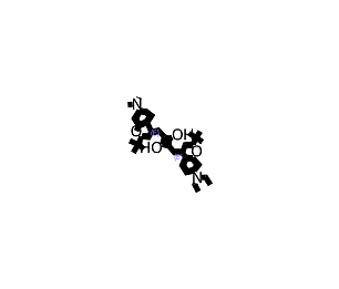 CCN(CC)c1ccc2c(c1)OC(C(C)(C)C)=C/C2=C\C1=C(O)C(/C=C2\C=C(C(C)(C)C)Oc3cc(N(C)C)ccc32)C1O